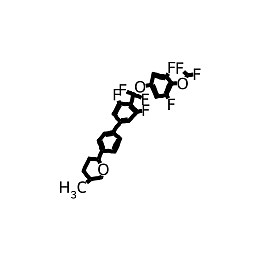 CC1CCC(c2ccc(-c3cc(F)c(C(F)(F)Oc4cc(F)c(OC(F)F)c(F)c4)c(F)c3)cc2)OC1